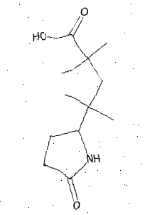 CC(C)(CC(C)(C)C1CCC(=O)N1)C(=O)O